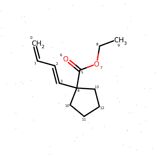 C=C/C=C/C1(C(=O)OCC)CCCC1